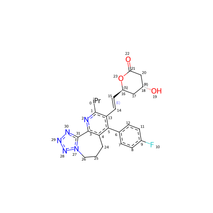 CC(C)c1nc2c(c(-c3ccc(F)cc3)c1/C=C/[C@@H]1C[C@@H](O)CC(=O)O1)CCCn1nnnc1-2